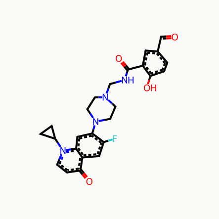 O=Cc1ccc(O)c(C(=O)NCN2CCN(c3cc4c(cc3F)c(=O)ccn4C3CC3)CC2)c1